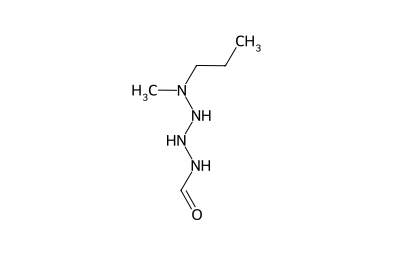 CCCN(C)NNNC=O